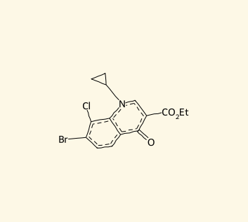 CCOC(=O)c1cn(C2CC2)c2c(Cl)c(Br)ccc2c1=O